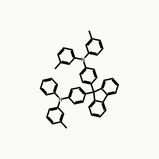 Cc1cccc(N(c2ccccc2)c2ccc(C3(c4ccc(N(c5cccc(C)c5)c5cccc(C)c5)cc4)c4ccccc4-c4ccccc43)cc2)c1